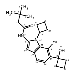 CC(C)(C)CC(=O)Nc1nc2ccc(C3(O)CCC3)c(F)c2n1C1CCC1